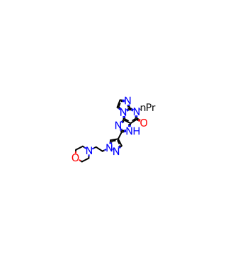 CCCn1c(=O)c2[nH]c(-c3cnn(CCN4CCOCC4)c3)nc2n2ccnc12